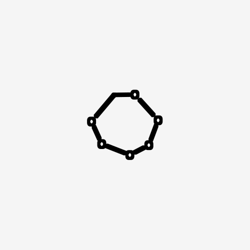 C1OOOOOO1